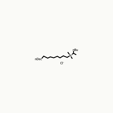 CCCCCCCCCCCCCCCCCC[N+](C)(C)C(C)CCCC.[Cl-]